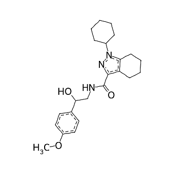 COc1ccc(C(O)CNC(=O)c2nn(C3CCCCC3)c3c2CCCC3)cc1